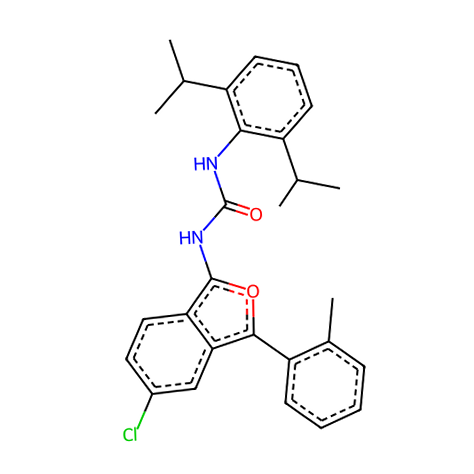 Cc1ccccc1-c1oc(NC(=O)Nc2c(C(C)C)cccc2C(C)C)c2ccc(Cl)cc12